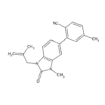 C=C(C)Cn1c(=O)n(C)c2cc(-c3cc(C)ccc3C#N)ccc21